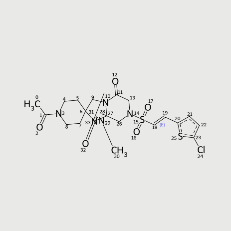 CC(=O)N1CCC2(CC1)CN1C(=O)CN(S(=O)(=O)/C=C/c3ccc(Cl)s3)CC13CN(C)C(=O)N23